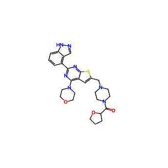 O=C(C1CCCO1)N1CCN(Cc2cc3c(N4CCOCC4)nc(-c4cccc5[nH]ncc45)nc3s2)CC1